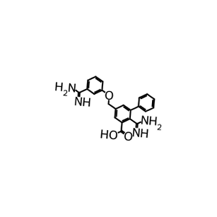 N=C(N)c1cccc(OCc2cc(C(=O)O)c(C(=N)N)c(-c3ccccc3)c2)c1